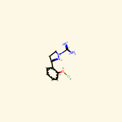 N=C(N)N1CCC(c2ccccc2OCl)=N1